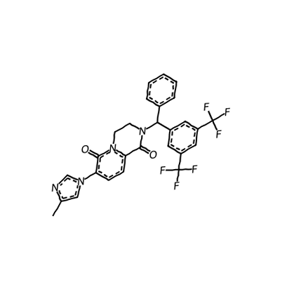 Cc1cn(-c2ccc3n(c2=O)CCN(C(c2ccccc2)c2cc(C(F)(F)F)cc(C(F)(F)F)c2)C3=O)cn1